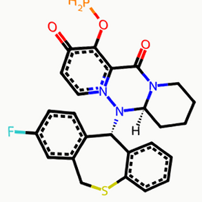 O=C1c2c(OP)c(=O)ccn2N([C@H]2c3ccc(F)cc3CSc3ccccc32)[C@@H]2CCCCN12